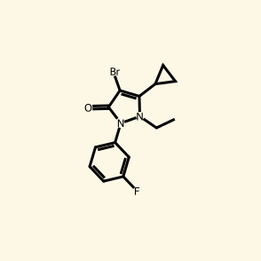 CCn1c(C2CC2)c(Br)c(=O)n1-c1cccc(F)c1